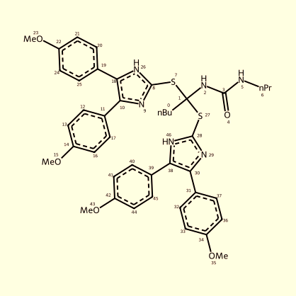 CCCCC(NC(=O)NCCC)(Sc1nc(-c2ccc(OC)cc2)c(-c2ccc(OC)cc2)[nH]1)Sc1nc(-c2ccc(OC)cc2)c(-c2ccc(OC)cc2)[nH]1